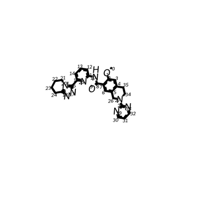 COc1cc2c(cc1C(=O)Nc1cccc(-c3nnc4n3CCCC4)n1)CN(c1ncccn1)CC2